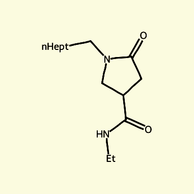 CCCCCCCCN1CC(C(=O)NCC)CC1=O